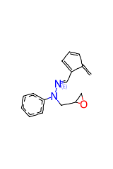 C=C1C=CC=C1/C=N/N(CC1CO1)c1ccccc1